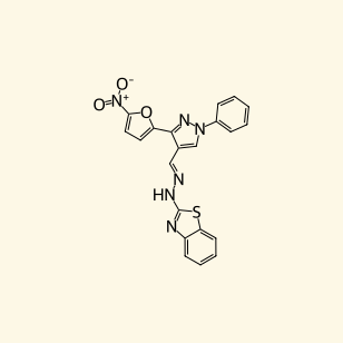 O=[N+]([O-])c1ccc(-c2nn(-c3ccccc3)cc2C=NNc2nc3ccccc3s2)o1